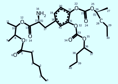 CCCCCC(=O)OC(C)C(C)OC(=O)[C@@H](N)Cc1ccc(OC(=O)O[C@@H](C)CCC)c(OC(=O)OC(C)CCC)c1